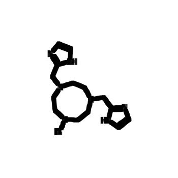 CCN1CCN(Cc2ncc[nH]2)CCN(Cc2ncc[nH]2)CC1